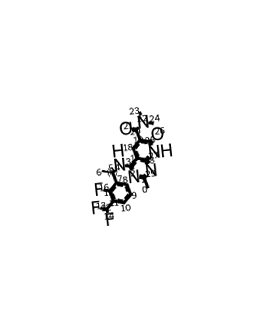 Cc1nc(N[C@H](C)c2cccc(C(F)F)c2F)c2cc(C(=O)N(C)C)c(=O)[nH]c2n1